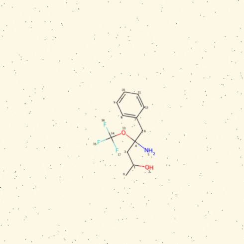 CC(O)CC(N)(Cc1ccccc1)OC(F)(F)F